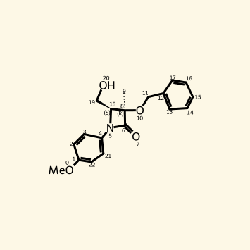 COc1ccc(N2C(=O)[C@](C)(OCc3ccccc3)[C@@H]2CO)cc1